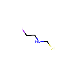 SCNCCI